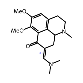 COc1cc2c3c(c1OC)C(=O)/C(=C/N(C)C)CC3N(C)CC2